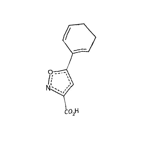 O=C(O)c1cc(C2=CCCC=C2)on1